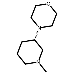 CN1CCC[C@H](N2CCOCC2)C1